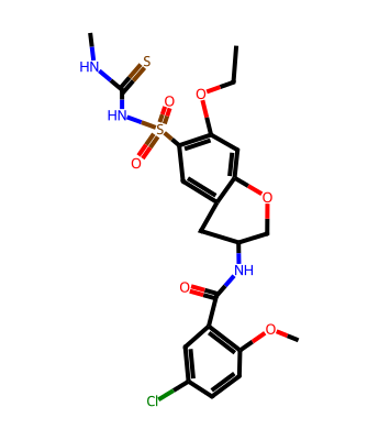 CCOc1cc2c(cc1S(=O)(=O)NC(=S)NC)CC(NC(=O)c1cc(Cl)ccc1OC)CO2